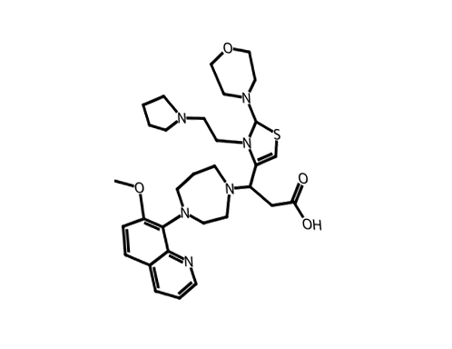 COc1ccc2cccnc2c1N1CCCN(C(CC(=O)O)C2=CSC(N3CCOCC3)N2CCN2CCCC2)CC1